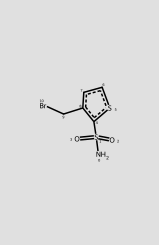 NS(=O)(=O)c1sccc1CBr